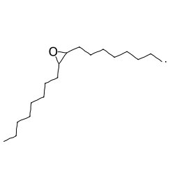 [CH2]CCCCCCCC1OC1CCCCCCCC